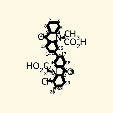 CC(C(=O)O)n1c2ccccc2c(=O)c2ccc(-c3ccc4c(=O)c5ccc(I)c(Cl)c5n(CC(=O)O)c4c3)cc21